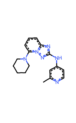 Cc1cc(Nc2nc3cccc(N4CCCCC4)n3n2)ccn1